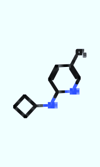 FC(F)(F)C1=CNC(NC2CCC2)C=C1